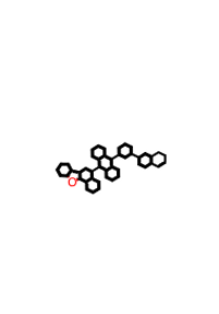 C1=Cc2ccc(-c3cccc(-c4c5ccccc5c(-c5cc6c7ccccc7oc6c6ccccc56)c5ccccc45)c3)cc2CC1